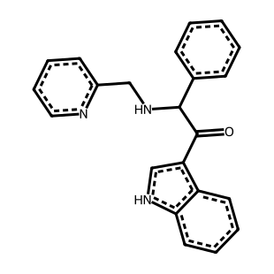 O=C(c1c[nH]c2ccccc12)C(NCc1ccccn1)c1ccccc1